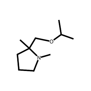 CC(C)OCC1(C)CCCN1C